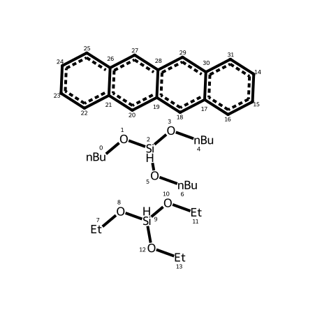 CCCCO[SiH](OCCCC)OCCCC.CCO[SiH](OCC)OCC.c1ccc2cc3cc4ccccc4cc3cc2c1